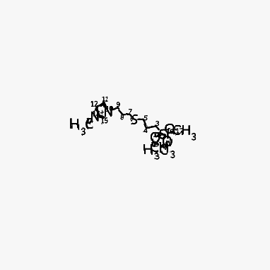 CO[Si](CCCSCCCn1cc[n+](C)c1)(OC)OC